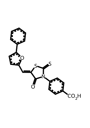 O=C(O)c1ccc(N2C(=O)C(=Cc3ccc(-c4ccccc4)o3)SC2=S)cc1